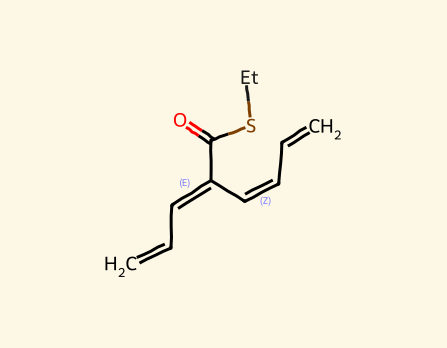 C=C/C=C\C(=C/C=C)C(=O)SCC